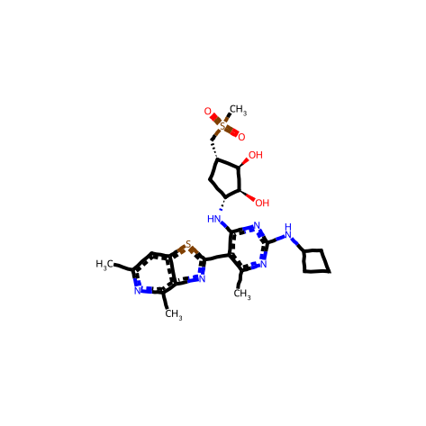 Cc1cc2sc(-c3c(C)nc(NC4CCC4)nc3N[C@@H]3C[C@H](CS(C)(=O)=O)[C@@H](O)[C@H]3O)nc2c(C)n1